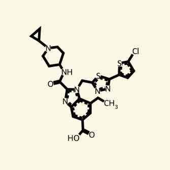 CCc1cc(C(=O)O)cc2nc(C(=O)NC3CCN(C4CC4)CC3)n(Cc3nnc(-c4ccc(Cl)s4)s3)c12